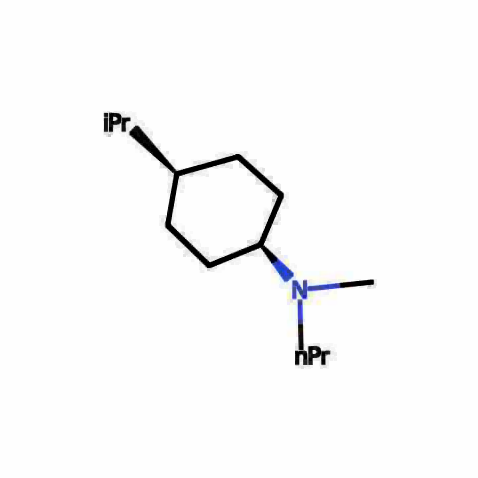 CCCN(C)[C@H]1CC[C@@H](C(C)C)CC1